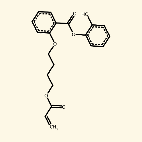 C=CC(=O)OCCCCOc1ccccc1C(=O)Oc1ccccc1O